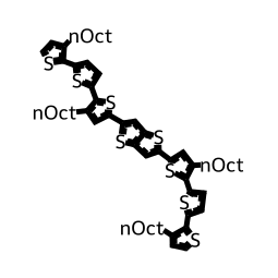 CCCCCCCCc1ccsc1-c1ccc(-c2sc(-c3cc4sc(-c5cc(CCCCCCCC)c(-c6ccc(-c7sccc7CCCCCCCC)s6)s5)cc4s3)cc2CCCCCCCC)s1